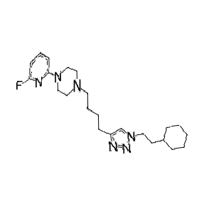 Fc1cccc(N2CCN(CCCCc3cn(CCC4CCCCC4)nn3)CC2)n1